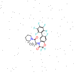 O=C(O)[C@@H]1CCCCN1C(=O)CN1C(=O)C(F)(F)Oc2cc(F)c(-c3c(F)c(F)c(F)c(F)c3F)cc21